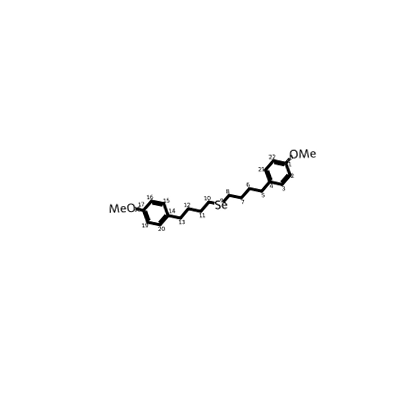 COc1ccc(CCCC[Se]CCCCc2ccc(OC)cc2)cc1